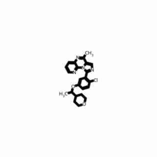 Cc1nc2cccnc2n2c(-c3cc(OC(C)C4CCOCC4)ccc3Cl)ncc12